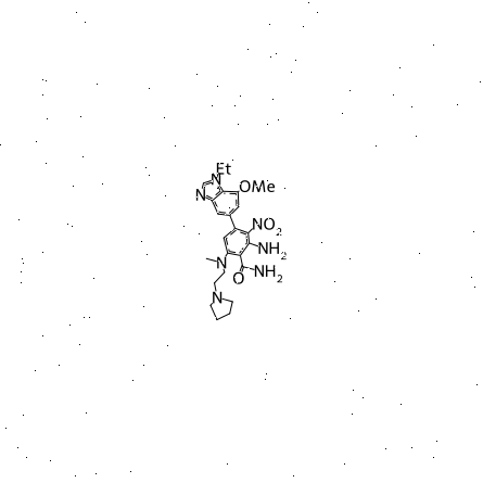 CCn1cnc2cc(-c3cc(N(C)CCN4CCCC4)c(C(N)=O)c(N)c3[N+](=O)[O-])cc(OC)c21